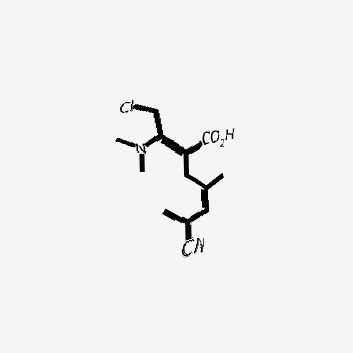 C/C(=C/C(C)C#N)C/C(C(=O)O)=C(/CCl)N(C)C